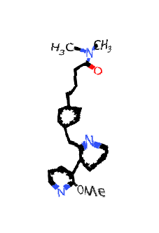 COc1ncccc1-c1cccnc1Cc1ccc(CCCC(=O)N(C)C)cc1